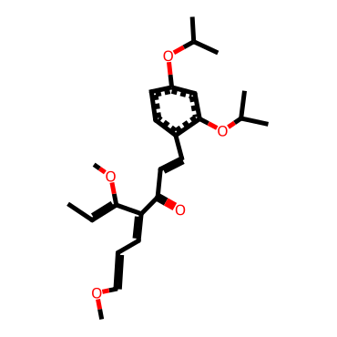 C/C=C(OC)/C(=C\C=C\OC)C(=O)/C=C/c1ccc(OC(C)C)cc1OC(C)C